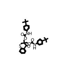 CC(C)(C)c1ccc(NC(=O)OCC2(COC(=O)Nc3ccc(C(C)(C)C)cc3)CSc3ccccc3C2=O)cc1